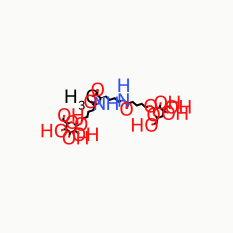 CC(=O)[C@@H](CCCCNC(=O)CCCCOC1OC(CO)CC(O)(CO)C1O)NC(=O)CCCCOC1OC(CO)C(O)C(O)C1O